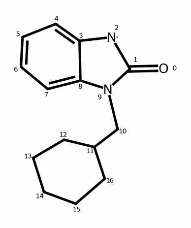 O=C1[N]c2ccccc2N1CC1CCCCC1